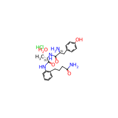 C[C@H](NC(=O)[C@@H](N)Cc1ccc(O)cc1)C(=O)Nc1ccccc1CCCC(N)=O.Cl.O